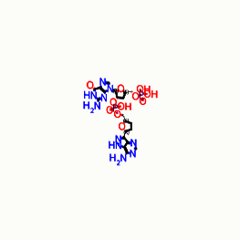 Nc1nc2c(ncn2[C@@H]2O[C@H](COP(=O)(O)O)CC2OP(=O)(O)OC[C@@H]2CC[C@H](c3n[nH]c4c(N)ncnc34)O2)c(=O)[nH]1